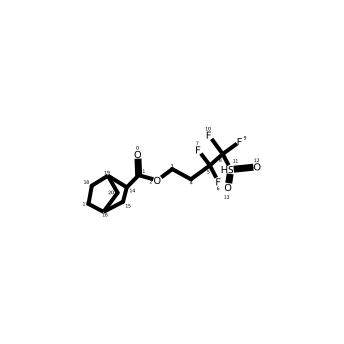 O=C(OCCC(F)(F)C(F)(F)[SH](=O)=O)C1CC2CCC1C2